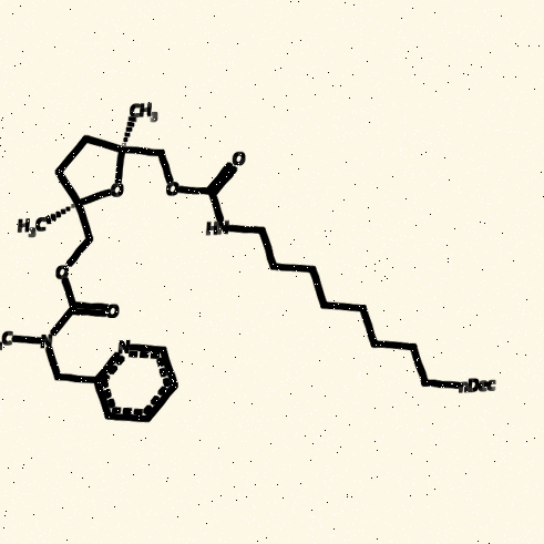 CCCCCCCCCCCCCCCCCCNC(=O)OC[C@]1(C)CC[C@](C)(COC(=O)N(C)Cc2ccccn2)O1